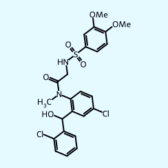 COc1ccc(S(=O)(=O)NCC(=O)N(C)c2ccc(Cl)cc2C(O)c2ccccc2Cl)cc1OC